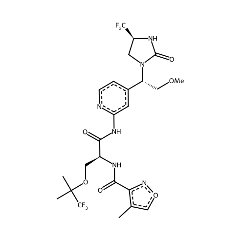 COC[C@H](c1ccnc(NC(=O)[C@H](COC(C)(C)C(F)(F)F)NC(=O)c2nocc2C)c1)N1C[C@@H](C(F)(F)F)NC1=O